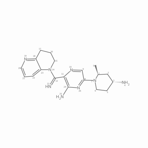 C[C@H]1C[C@H](N)CCN1c1cnc(C(=N)N2CCCc3ncccc32)c(N)n1